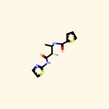 CC(NC(=O)c1cccs1)[C@H](C)C(=O)Nc1nccs1